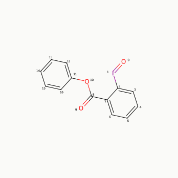 O=Ic1ccccc1C(=O)Oc1ccccc1